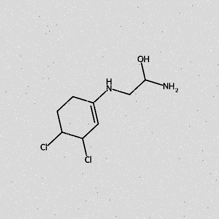 NC(O)CNC1=CC(Cl)C(Cl)CC1